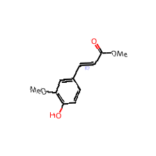 [CH2]OC(=O)/C=C/c1ccc(O)c(OC)c1